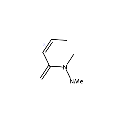 C=C(/C=C\C)N(C)NC